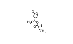 CCC(I)C(=O)OC(C)C1COC(=O)O1